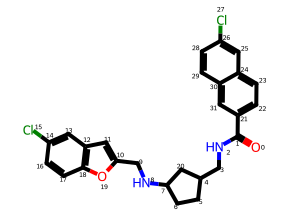 O=C(NCC1CCC(NCc2cc3cc(Cl)ccc3o2)C1)c1ccc2cc(Cl)ccc2c1